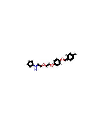 Cc1ccc(COc2ccc(OCCOCCNC3CCCC3)cc2)cc1